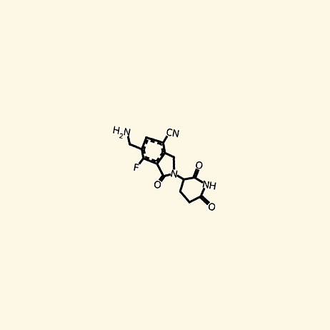 N#Cc1cc(CN)c(F)c2c1CN(C1CCC(=O)NC1=O)C2=O